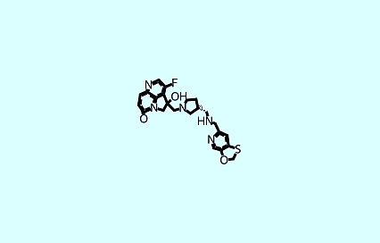 O=c1ccc2ncc(F)c3c2n1CC3(O)CN1CC[C@H](CNCc2cc3c(cn2)OCS3)C1